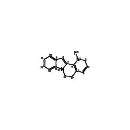 FN1CC=CC2=C1c1cc3ccccc3n1CC2